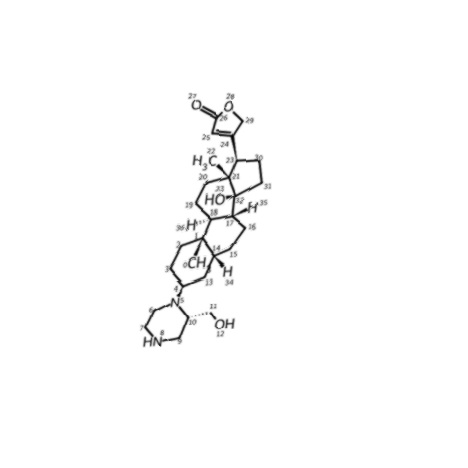 C[C@]12CC[C@H](N3CCNC[C@H]3CO)C[C@H]1CC[C@@H]1[C@@H]2CC[C@]2(C)[C@@H](C3=CC(=O)OC3)CC[C@]12O